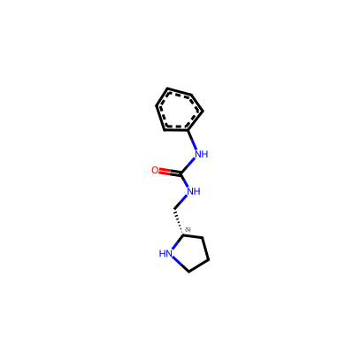 O=C(NC[C@@H]1CCCN1)Nc1ccccc1